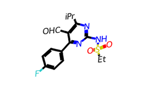 CCS(=O)(=O)Nc1nc(-c2ccc(F)cc2)c(C=O)c(C(C)C)n1